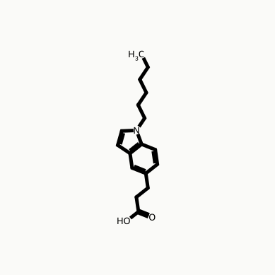 CCCCCCn1ccc2cc(CCC(=O)O)ccc21